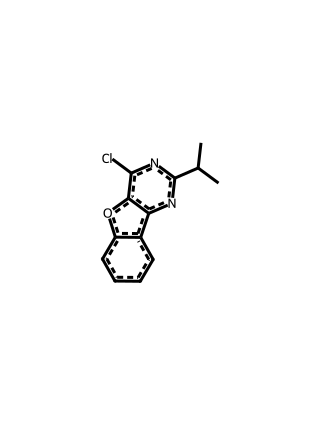 CC(C)c1nc(Cl)c2oc3ccccc3c2n1